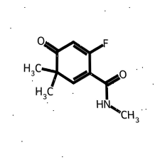 CNC(=O)C1=CC(C)(C)C(=O)C=C1F